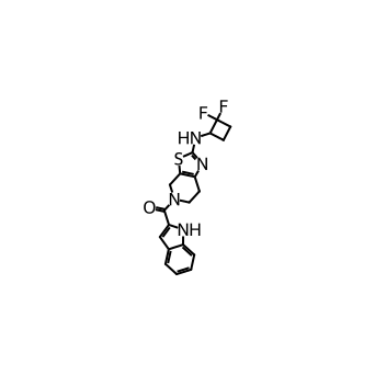 O=C(c1cc2ccccc2[nH]1)N1CCc2nc(NC3CCC3(F)F)sc2C1